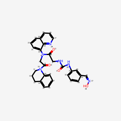 O=C(NCC(=O)N(CC(=O)N1CCCc2ccccc21)c1cccc2cccnc12)Nc1cccc(/C=N\O)c1